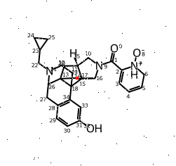 O=C(C1=CC=CC[NH+]1[O-])N1C[C@H]2CC34CCC1C2C31CCN(CC2CC2)C4Cc2ccc(O)cc21